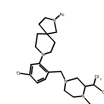 CC(=O)N1CCC2(CCN(c3cc(Cl)ccc3CN3CCN(C(=O)O)C(C(C(F)(F)F)C(F)(F)F)C3)CC2)C1